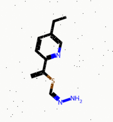 C=C(S/C=N\N)c1ccc(CC)cn1